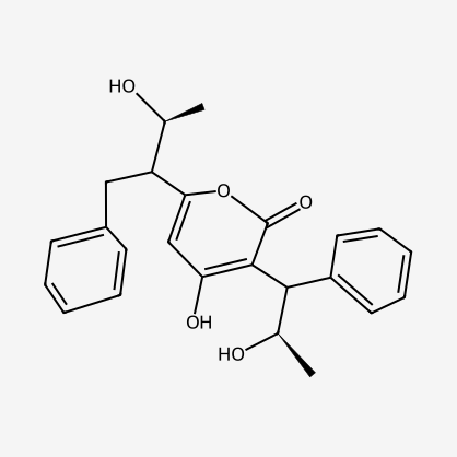 C[C@H](O)C(Cc1ccccc1)c1cc(O)c(C(c2ccccc2)[C@@H](C)O)c(=O)o1